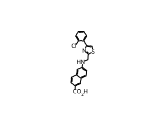 O=C(O)c1ccc2cc(NCc3nc(-c4ccccc4Cl)cs3)ccc2c1